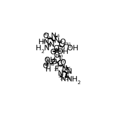 Nc1nc2c(ncn2[C@@H]2O[C@H](CO)CC2OP(=O)(O)OC[C@H]2O[C@@H](n3cnc4c(N)ncnc43)C(F)C2OC[PH](=O)O)c(=O)[nH]1